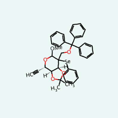 C#C[C@@H]1OC(OC)C(COC(c2ccccc2)(c2ccccc2)c2ccccc2)([Se]c2ccccc2)[C@H]2OC(C)(C)O[C@@H]12